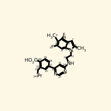 Cc1c(F)cc2c(cc(C)n2CCNc2cc(-c3ccc(C(=O)O)c(CC(C)C)c3)ncn2)c1F